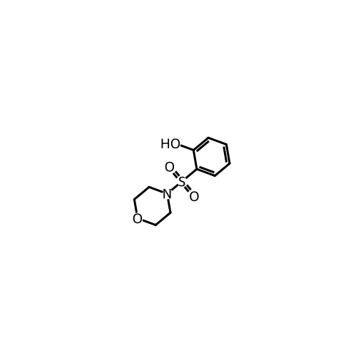 O=S(=O)(c1ccccc1O)N1CCOCC1